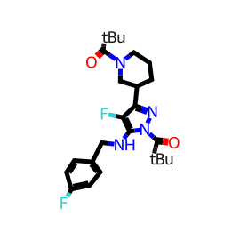 CC(C)(C)C(=O)N1CCCC(c2nn(C(=O)C(C)(C)C)c(NCc3ccc(F)cc3)c2F)C1